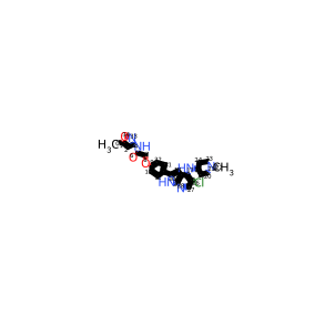 Cc1cc(NC(=O)COc2ccc(-c3cc4c(NC5CCN(C)CC5)c(Cl)cnc4[nH]3)cc2)no1